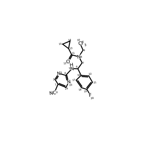 N#Cc1cnc(NC(CN(CC(F)(F)F)C(=O)C2CC2)c2ccc(F)cc2)nc1